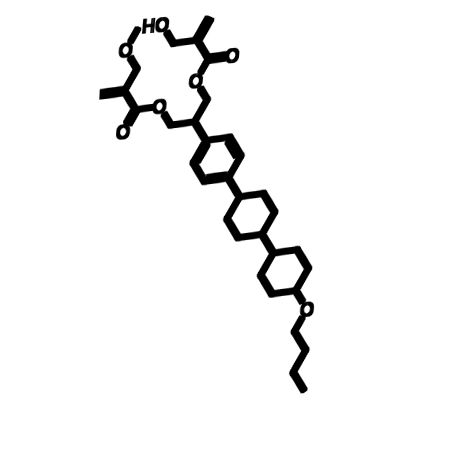 C=C(CO)C(=O)OCC(COC(=O)C(=C)COC)c1ccc(C2CCC(C3CCC(OCCCC)CC3)CC2)cc1